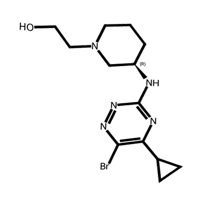 OCCN1CCC[C@@H](Nc2nnc(Br)c(C3CC3)n2)C1